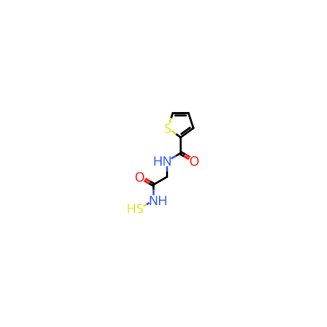 O=C(CNC(=O)c1cccs1)NS